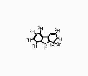 [2H]C1=Cc2c([nH]c3c([2H])c([2H])c([2H])c([2H])c23)C([2H])(Br)C1[2H]